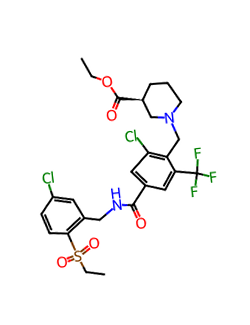 CCOC(=O)[C@H]1CCCN(Cc2c(Cl)cc(C(=O)NCc3cc(Cl)ccc3S(=O)(=O)CC)cc2C(F)(F)F)C1